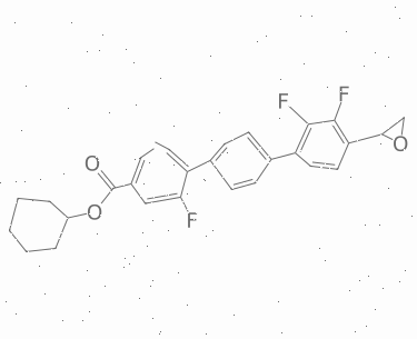 C\C=C(/C(F)=C\C(=C/C)C(=O)OC1CCCCC1)c1ccc(-c2ccc(C3CO3)c(F)c2F)cc1